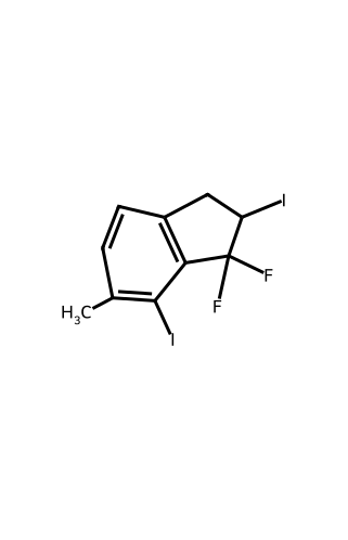 Cc1ccc2c(c1I)C(F)(F)C(I)C2